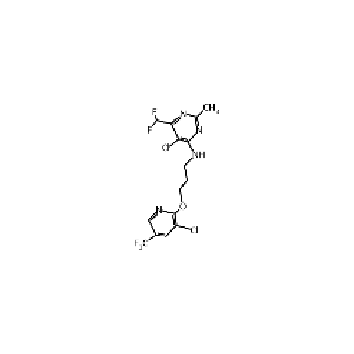 Cc1nc(NCCCOc2ncc(C(F)(F)F)cc2Cl)c(Cl)c(C(F)F)n1